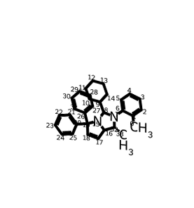 Cc1ccccc1N1C(C2CCCCC2)N2C(C=CC2(c2ccccc2)c2ccccc2)[C@@H]1C